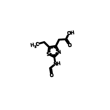 CCc1sc(NC=O)nc1CC(=O)O